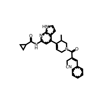 CC1CN(C(=O)/C(=C/c2ccccc2)CC#N)CC=C1c1cc(NC(=O)C2CC2)nc2[nH]ccc12